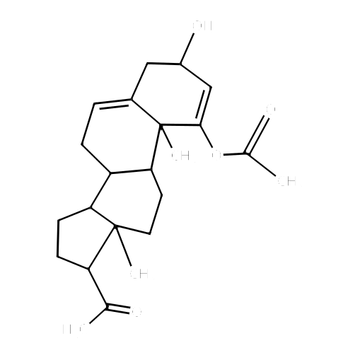 CC(=O)OC1=CC(O)CC2=CCC3C(CCC4(C)C(C(C)=O)CCC34)C21C